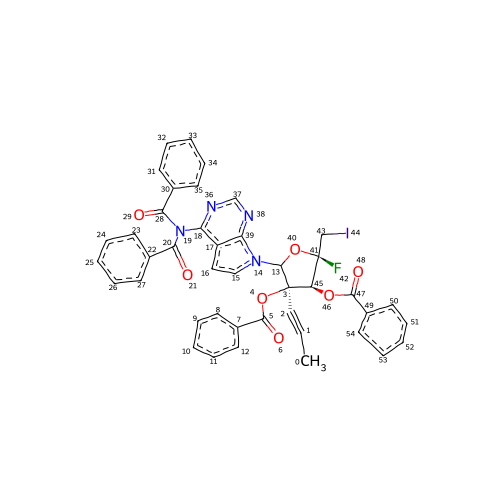 CC#C[C@]1(OC(=O)c2ccccc2)C(n2ccc3c(N(C(=O)c4ccccc4)C(=O)c4ccccc4)ncnc32)O[C@](F)(CI)[C@H]1OC(=O)c1ccccc1